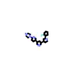 CN1CCN(c2ccc(-c3cncc(-c4ccnc(-c5ccccc5F)c4)c3)cn2)CC1